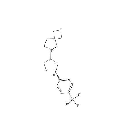 FC(F)(F)c1ccc([C@H]2CCC(N3CCC4(CSC4)C3)C2)cc1